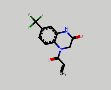 C=CC(=O)N1CC(=O)Nc2cc(C(F)(F)F)ccc21